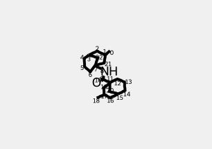 CC1CC2CCCC(NC(=O)C34CCCC(CC(C)C3)C4)(C1)C2